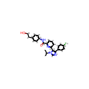 CC(C)n1cnc(-c2ccc(F)cc2)c1-c1cccc(C(=O)Nc2ccc(CCO)cc2)n1